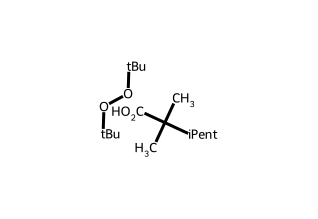 CC(C)(C)OOC(C)(C)C.CCCC(C)C(C)(C)C(=O)O